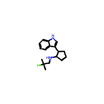 CC(C)(F)CNC1CCCC1c1c[nH]c2ccccc12